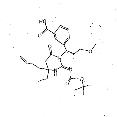 C=CCCC1(CC)CC(=O)N([C@H](CCOC)c2cccc(C(=O)O)c2)/C(=N/C(=O)OC(C)(C)C)N1